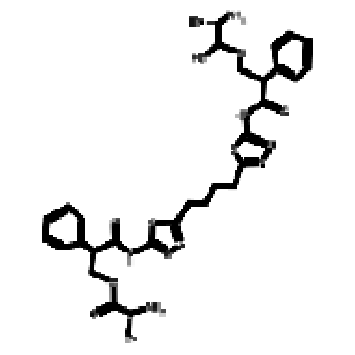 CC(C)[C@H](N)C(O)OCC(C(=O)Nc1nnc(CCCCc2nnc(NC(=O)C(COC(=O)[C@@H](N)C(C)C)c3ccccc3)s2)s1)c1ccccc1